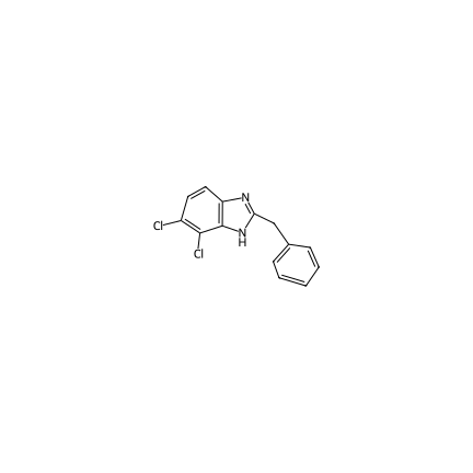 Clc1ccc2nc(Cc3ccccc3)[nH]c2c1Cl